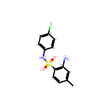 Cc1ccc(S(=O)(=O)Nc2ccc(Cl)cc2)c(N)c1